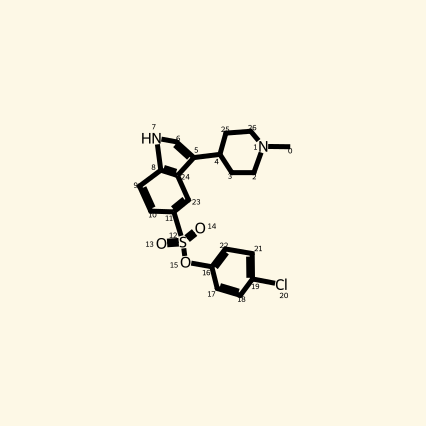 CN1CCC(c2c[nH]c3ccc(S(=O)(=O)Oc4ccc(Cl)cc4)cc23)CC1